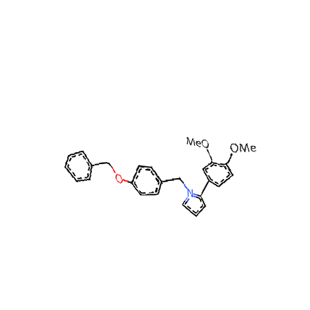 COc1ccc(-c2cccn2Cc2ccc(OCc3ccccc3)cc2)cc1OC